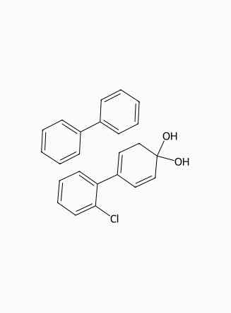 OC1(O)C=CC(c2ccccc2Cl)=CC1.c1ccc(-c2ccccc2)cc1